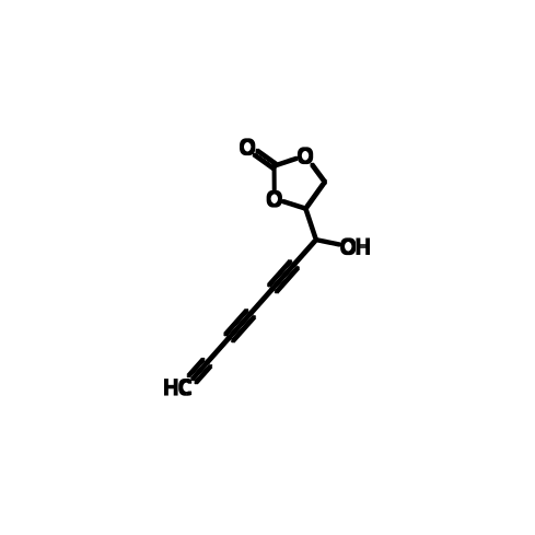 C#CC#CC#CC(O)C1COC(=O)O1